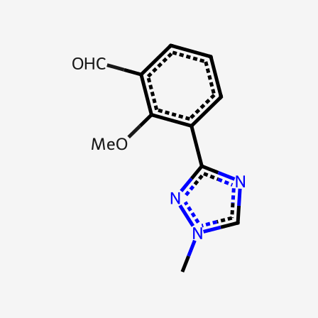 COc1c(C=O)cccc1-c1ncn(C)n1